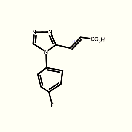 O=C(O)/C=C/c1nncn1-c1ccc(F)cc1